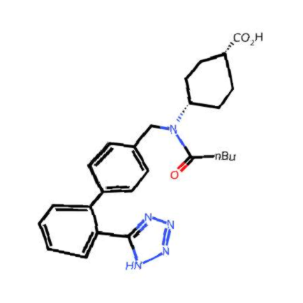 CCCCC(=O)N(Cc1ccc(-c2ccccc2-c2nnn[nH]2)cc1)[C@H]1CC[C@@H](C(=O)O)CC1